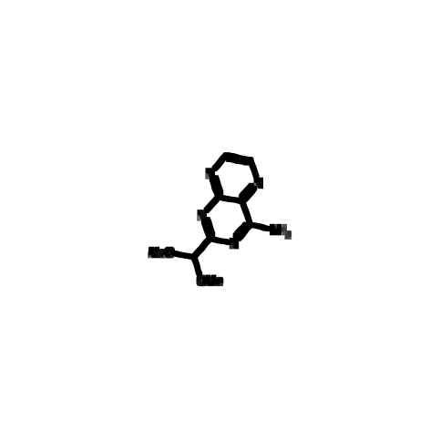 COC(OC)c1nc(N)c2nccnc2n1